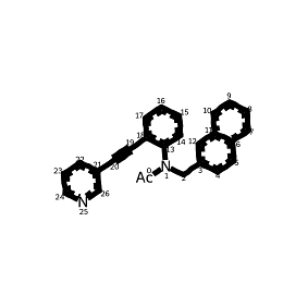 CC(=O)N(Cc1ccc2ccccc2c1)c1ccccc1C#Cc1cccnc1